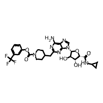 Nc1nc(CC2CCN(C(=O)Oc3cccc(C(F)(F)F)c3)CC2)nc2c1ncn2[C@@H]1O[C@H](C(=O)NC2CC2)[C@H](O)C1O